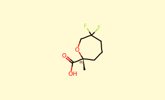 C[C@]1(C(=O)O)CCCC(F)(F)CO1